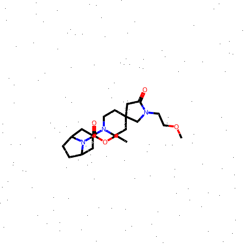 CCOC(=O)N1C2CCC1CC(N1CCC3(CC1)CC(=O)N(CCOC)C3)C2